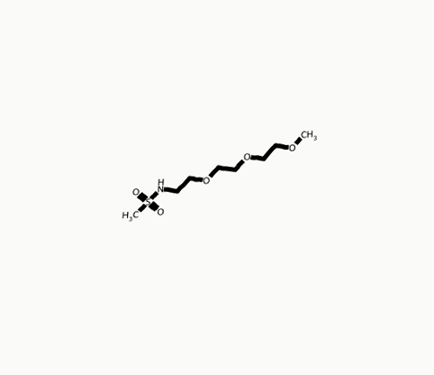 COCCOCCOCCNS(C)(=O)=O